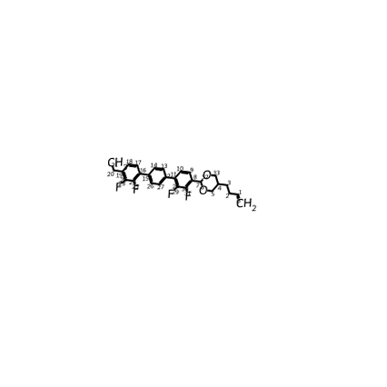 C=CCCC1COC(c2ccc(-c3ccc(-c4ccc(CC)c(F)c4F)cc3)c(F)c2F)OC1